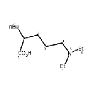 CCCCC(CCCN(CC)CC)C(=O)O